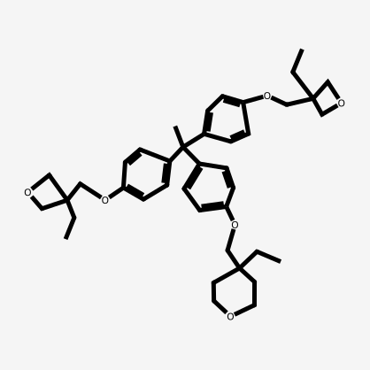 CCC1(COc2ccc(C(C)(c3ccc(OCC4(CC)COC4)cc3)c3ccc(OCC4(CC)COC4)cc3)cc2)CCOCC1